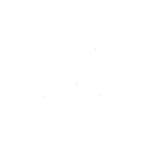 C#CC(=O)OCC(C)(COC(=O)C#C)COC(=O)C#C